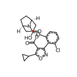 O=C(O[C@@H]1C[C@H]2CC[C@@H](C1)N2C(=O)O)c1c(-c2c(Cl)cccc2Cl)noc1C1CC1